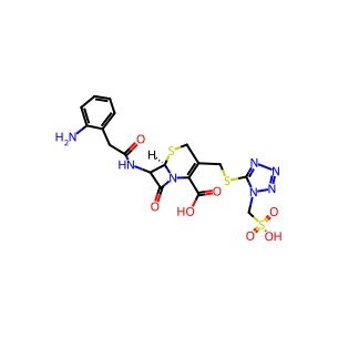 Nc1ccccc1CC(=O)NC1C(=O)N2C(C(=O)O)=C(CSc3nnnn3CS(=O)(=O)O)CS[C@H]12